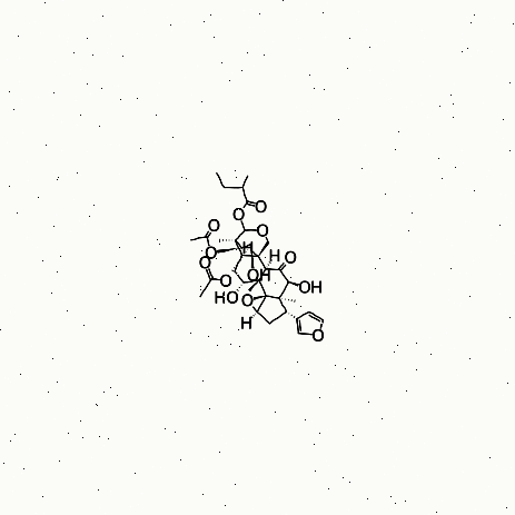 CCC(C)C(=O)OC1OC[C@@]23[C@H]4C(=O)[C@@H](O)[C@@]5(C)[C@H](c6ccoc6)C[C@H]6O[C@]65[C@]4(C)[C@H](O)C[C@H]2[C@]1(C)[C@H](OC(C)=O)[C@H](OC(C)=O)[C@@H]3O